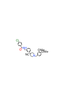 COc1ccc(CN2CCC(C#N)(c3cccc(CNC(=O)c4ccc(Cl)cc4)c3)CC2)cc1OC